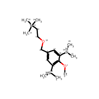 CCOc1c([SiH](C)C)cc(COCC[Si](C)(C)C)cc1[SiH](C)C